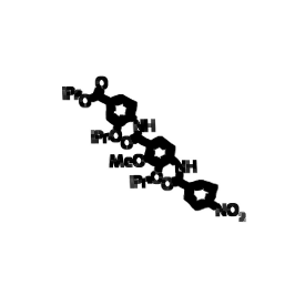 COc1c(C(=O)Nc2ccc(C(=O)OC(C)C)cc2OC(C)C)ccc(NC(=O)c2ccc([N+](=O)[O-])cc2)c1OC(C)C